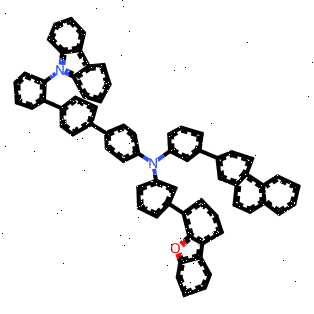 c1cc(-c2ccc3c(ccc4ccccc43)c2)cc(N(c2ccc(-c3ccc(-c4ccccc4-n4c5ccccc5c5ccccc54)cc3)cc2)c2cccc(-c3cccc4c3oc3ccccc34)c2)c1